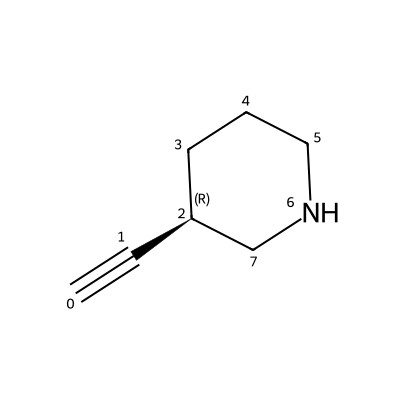 C#C[C@H]1CCCNC1